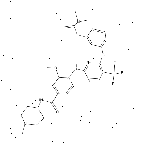 C=C(Cc1cccc(Oc2nc(Nc3ccc(C(=O)NC4CCN(C)CC4)cc3OC)ncc2C(F)(F)F)c1)N(C)C